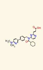 CN(C)c1ccc(-c2ccc(CN(C(=O)C3CCCCC3)c3ccnc(C=CC(=O)O)n3)cc2)cn1